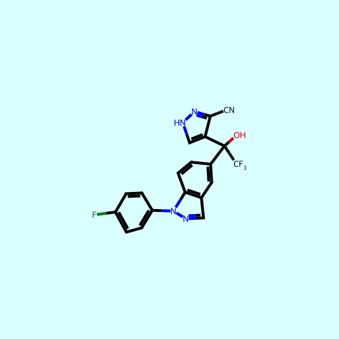 N#Cc1n[nH]cc1C(O)(c1ccc2c(cnn2-c2ccc(F)cc2)c1)C(F)(F)F